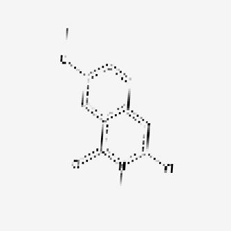 COc1ccc2cc(Cl)n(C)c(=O)c2c1